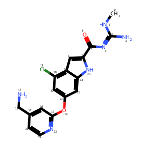 CNC(N)=NC(=O)c1cc2c(Cl)cc(Oc3cc(CN)ccn3)cc2[nH]1